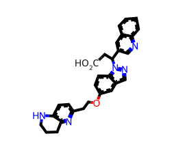 O=C(O)CC(c1cnc2ccccc2c1)n1ncc2cc(OCCc3ccc4c(n3)CCCN4)ccc21